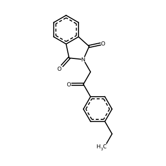 CCc1ccc(C(=O)CN2C(=O)c3ccccc3C2=O)cc1